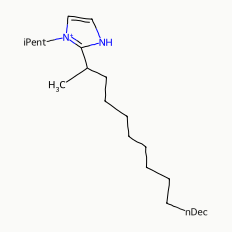 CCCCCCCCCCCCCCCCCCC(C)c1[nH]cc[n+]1C(C)CCC